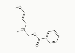 C[C@H](CC=CO)COC(=O)c1ccccc1